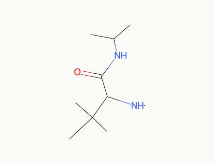 CC(C)NC(=O)C([NH])C(C)(C)C